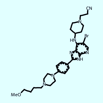 COCCCCN1CCN(c2ccc(-c3nc4c(NC5CCN(CCC#N)CC5)c(Br)cnc4[nH]3)cc2)CC1